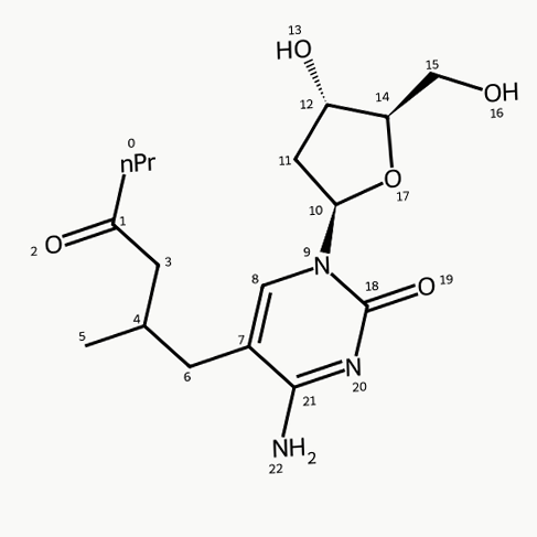 CCCC(=O)CC(C)Cc1cn([C@H]2C[C@H](O)[C@@H](CO)O2)c(=O)nc1N